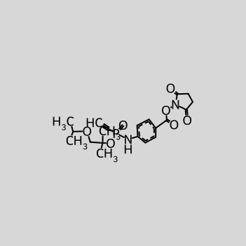 C#CP(=O)(Nc1ccc(C(=O)ON2C(=O)CCC2=O)cc1)OC(C)(C)COC(C)C